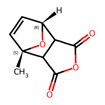 C[C@@]12C=C[C@@H](O1)C1C(=O)OC(=O)C12